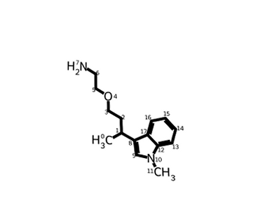 CC(CCOCCN)c1cn(C)c2ccccc12